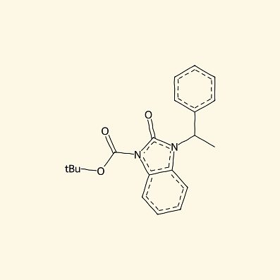 CC(c1ccccc1)n1c(=O)n(C(=O)OC(C)(C)C)c2ccccc21